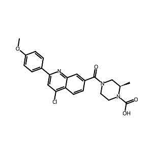 COc1ccc(-c2cc(Cl)c3ccc(C(=O)N4CCN(C(=O)O)[C@H](C)C4)cc3n2)cc1